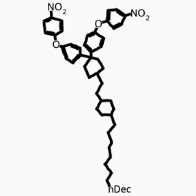 CCCCCCCCCCCCCCCCCCC1CCC(CCC2CCC(c3ccc(Oc4ccc([N+](=O)[O-])cc4)cc3)(c3ccc(Oc4ccc([N+](=O)[O-])cc4)cc3)CC2)CC1